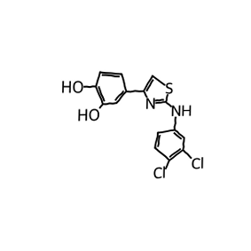 Oc1ccc(-c2csc(Nc3ccc(Cl)c(Cl)c3)n2)cc1O